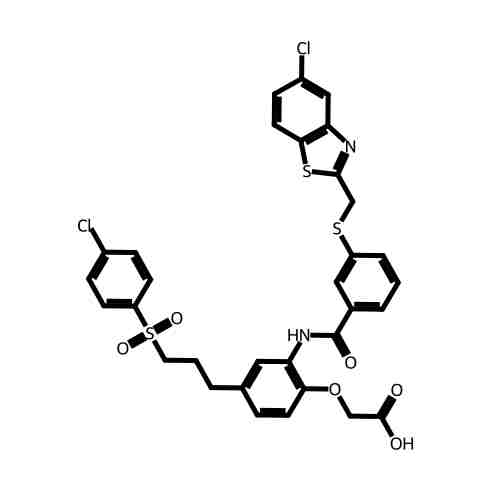 O=C(O)COc1ccc(CCCS(=O)(=O)c2ccc(Cl)cc2)cc1NC(=O)c1cccc(SCc2nc3cc(Cl)ccc3s2)c1